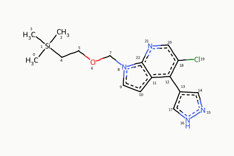 C[Si](C)(C)CCOCn1ccc2c(-c3cn[nH]c3)c(Cl)cnc21